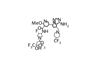 COc1ncc(-c2cc(CN3CCC(C(F)(F)F)CC3)c3c(N)ncnn23)cc1C(=O)N[C@@H]1CN(C(=O)CC(O)(C(F)(F)F)C(F)(F)F)C[C@@H]1F